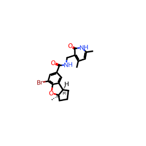 Cc1cc(C)c(CNC(=O)c2cc(Br)c3c(c2)[C@H]2CCC[C@@]2(C)O3)c(=O)[nH]1